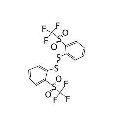 O=S(=O)(c1ccccc1SSc1ccccc1S(=O)(=O)C(F)(F)F)C(F)(F)F